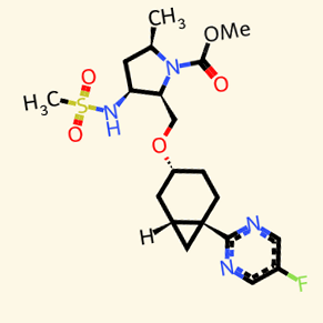 COC(=O)N1[C@H](C)C[C@H](NS(C)(=O)=O)[C@@H]1CO[C@@H]1CC[C@]2(c3ncc(F)cn3)C[C@@H]2C1